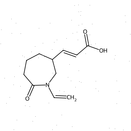 C=CN1CC(/C=C/C(=O)O)CCCC1=O